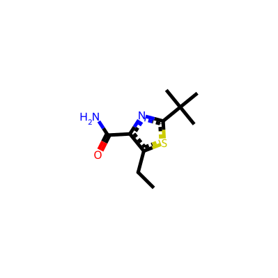 CCc1sc(C(C)(C)C)nc1C(N)=O